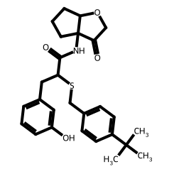 CC(C)(C)c1ccc(CSC(Cc2cccc(O)c2)C(=O)NC23CCCC2OCC3=O)cc1